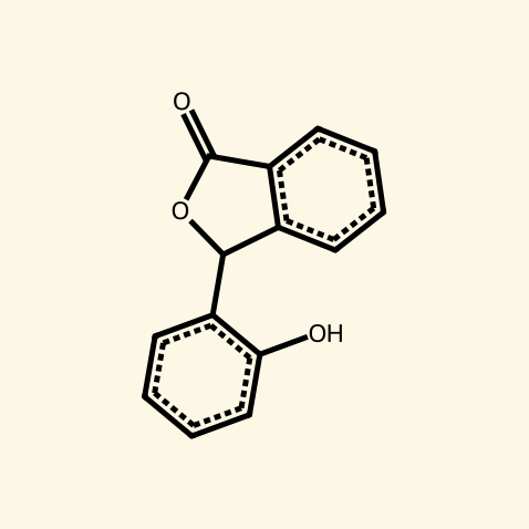 O=C1OC(c2ccccc2O)c2ccccc21